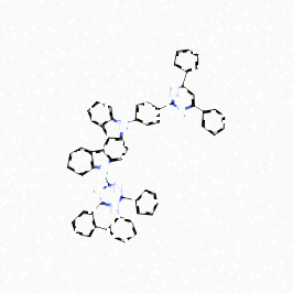 c1ccc(-c2cc(-c3ccccc3)nc(-c3ccc(-n4c5ccccc5c5c6c7ccccc7n(-c7nc(-c8ccccc8)nc(-c8ccccc8-c8ccccc8)n7)c6ccc54)cc3)n2)cc1